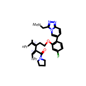 CCC/C=C(C(=O)N1CCCC1)/C(CCOc1cc(F)ccc1-c1ccc2nnc(CNC)n2c1)=C(/C)CCC